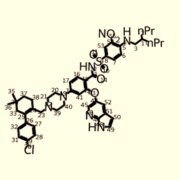 CCCC(CCC)CNc1ccc(S(=O)(=O)NC(=O)c2ccc(N3CCN(CC4=C(c5ccc(Cl)cc5)CC(C)(C)CC4)CC3)cc2Oc2cnc3[nH]ccc3c2)cc1[N+](=O)[O-]